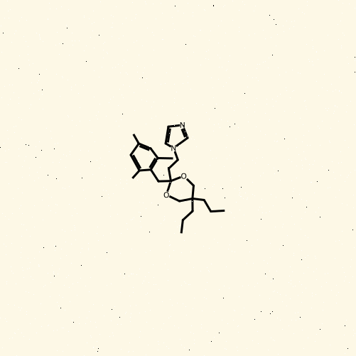 CCCC1(CCC)COC(CCn2ccnc2)(Cc2c(C)cc(C)cc2C)OC1